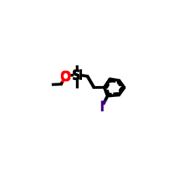 CCO[Si](C)(C)CCc1ccccc1I